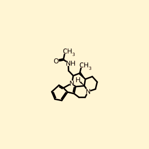 CC[C@]12CCCN3CCc4c(n(c5ccccc45)C(CNC(C)=O)C1)[C@@H]32